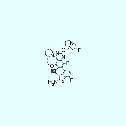 N#Cc1c(N)sc2c(F)ccc(-c3c(Cl)c4c5c(nc(OCC67CCCN6C[C@H](F)C7)nc5c3F)N3CCCCC3CCO4)c12